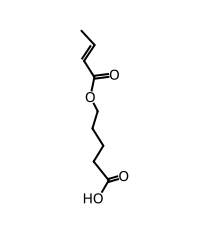 CC=CC(=O)OCCCCC(=O)O